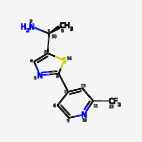 C[C@H](N)c1cnc(-c2ccnc(C(F)(F)F)c2)s1